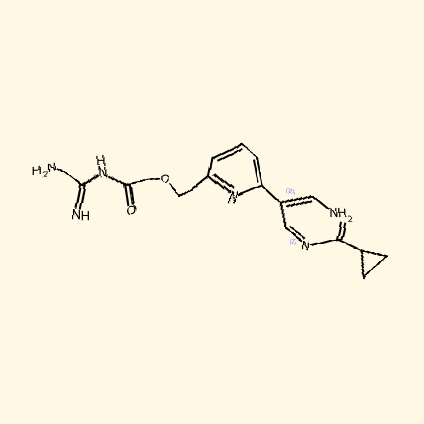 C=C(/N=C\C(=C/N)c1cccc(COC(=O)NC(=N)N)n1)C1CC1